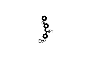 CCOc1ccc(C(Cc2cccc(Oc3ccccc3)c2)[C](C)C)cc1